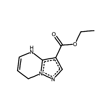 CCOC(=O)c1cnn2c1NC=CC2